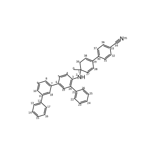 CC1(Nc2ccc(-c3cccc(-c4ccccc4)c3)cc2-c2ccccc2)C=CC(c2ccc(C#N)cc2)=CC1